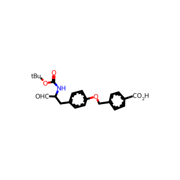 CC(C)(C)OC(=O)NC(C=O)Cc1ccc(OCc2ccc(C(=O)O)cc2)cc1